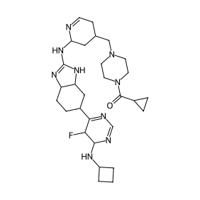 O=C(C1CC1)N1CCN(CC2CC=NC(NC3=NC4CCC(C5=NC=NC(NC6CCC6)C5F)CC4N3)C2)CC1